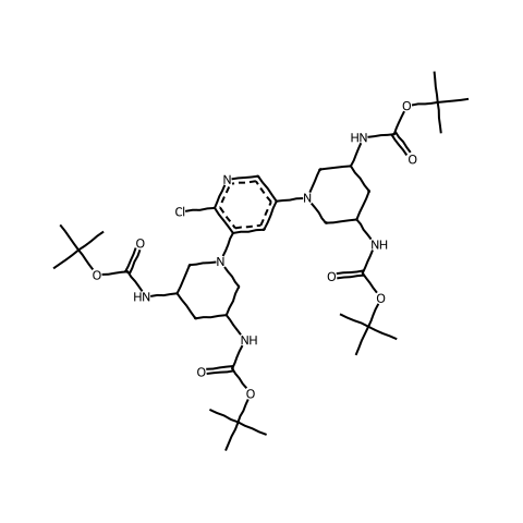 CC(C)(C)OC(=O)NC1CC(NC(=O)OC(C)(C)C)CN(c2cnc(Cl)c(N3CC(NC(=O)OC(C)(C)C)CC(NC(=O)OC(C)(C)C)C3)c2)C1